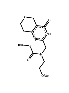 COCCN(Cc1nc2c(c(=O)[nH]1)COCC2)C(=O)OC(C)(C)C